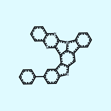 c1ccc(-c2ccc3sc4cc5c6ccccc6n6c7nc8ccccc8nc7c(c4c3c2)c56)cc1